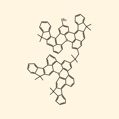 CC(C)(C)c1cc2c3c(c1)-c1c4c(cc5cc(CC(C)(C)c6cc7c8c(c6)-c6cccc9c%10c(cc(c69)B8c6cc8c(c9cccc-7c69)-c6ccccc6C8(C)C)C(C)(C)c6ccccc6-%10)cc(c15)B3c1cccc3cc5c(c-2c13)-c1ccccc1C5(C)C)C(C)(C)c1ccccc1-4